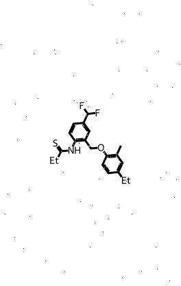 CCC(=S)Nc1ccc(C(F)F)cc1COc1ccc(CC)cc1C